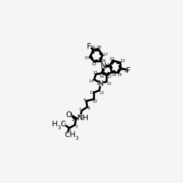 CC(C)CC(=O)NCCCCCCN1CCc2c(c3cc(F)ccc3n2-c2ccc(F)cc2)C1